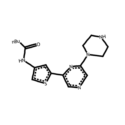 CCCCC(=O)Nc1csc(-c2cncc(N3CCNCC3)n2)c1